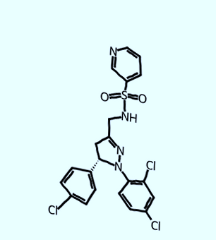 O=S(=O)(NCC1=NN(c2ccc(Cl)cc2Cl)[C@H](c2ccc(Cl)cc2)C1)c1cccnc1